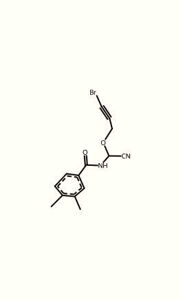 Cc1ccc(C(=O)NC(C#N)OCC#CBr)cc1C